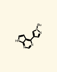 CCC(C)n1cc(-c2ncnc3[nH]ccc23)cn1